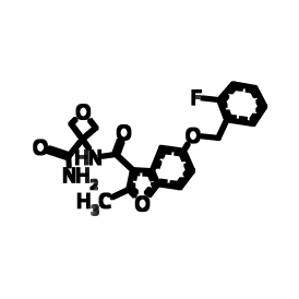 Cc1oc2ccc(OCc3ccccc3F)cc2c1C(=O)NC1(C(N)=O)COC1